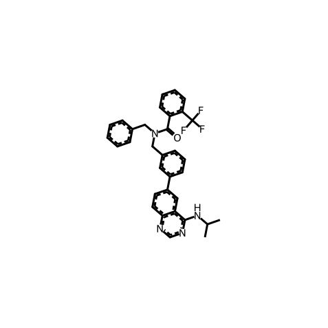 CC(C)Nc1ncnc2ccc(-c3cccc(CN(Cc4ccccc4)C(=O)c4ccccc4C(F)(F)F)c3)cc12